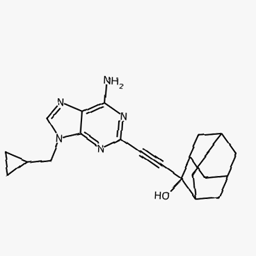 Nc1nc(C#CC2(O)C3CC4CC(C3)CC2C4)nc2c1ncn2CC1CC1